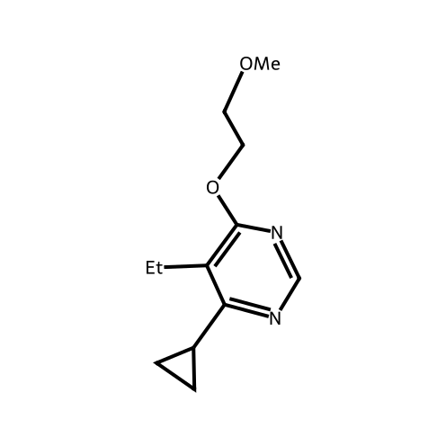 CCc1c(OCCOC)ncnc1C1CC1